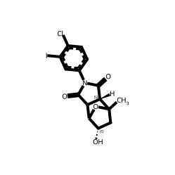 CC12C[C@H](O)C(O1)C1C(=O)N(c3ccc(Cl)c(I)c3)C(=O)[C@@H]12